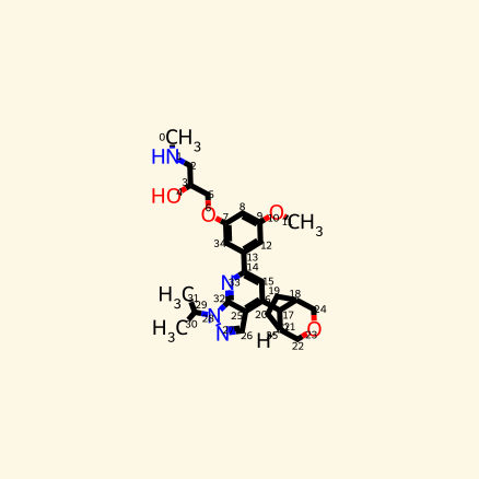 CNCC(O)COc1cc(OC)cc(-c2cc(C3C4CC[C@@H]3COC4)c3cnn(C(C)C)c3n2)c1